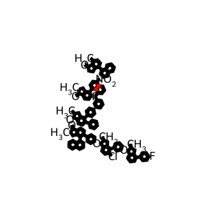 CC1Cc2c(ccc(-c3ccccc3)c2-c2cccc3ccccc23)C1=O.CC1Cc2c(ccc(-c3ccccc3)c2-c2ccccc2)C1=O.CC1Cc2c(ccc(Cl)c2-c2ccccc2)C1=O.CC1Cc2c(ccc(P(c3ccccc3)c3ccccc3)c2-c2ccc([N+](=O)[O-])cc2)C1=O.CC1Cc2c(cccc2-c2ccc(F)cc2)C1=O.Cc1ccc(-c2cccc3ccccc23)c2c1C(=O)CC2